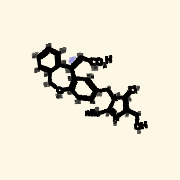 CCCCc1nc(CO)c(Cl)n1Cc1ccc2c(c1)/C(=C\C(=O)O)c1ccccc1CO2